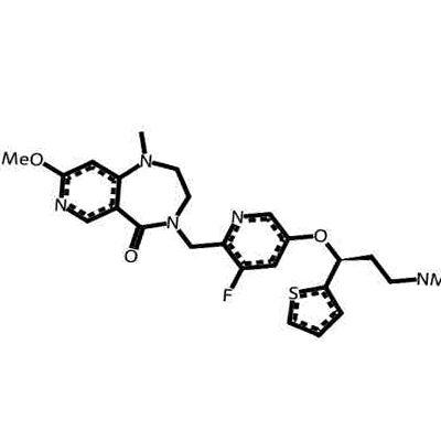 CNCC[C@H](Oc1cnc(CN2CCN(C)c3cc(OC)ncc3C2=O)c(F)c1)c1cccs1